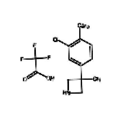 COc1ccc(C2(O)CNC2)cc1Cl.O=C(O)C(F)(F)F